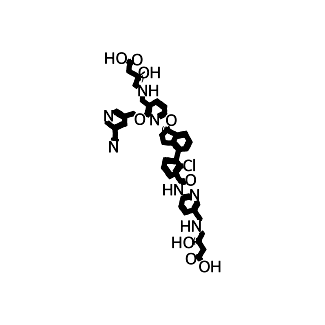 N#Cc1cncc(COc2nc(O[C@H]3CCc4c(-c5cccc(C(=O)Nc6ccc(CNC[C@@H](O)CC(=O)O)cn6)c5Cl)cccc43)ccc2CNC[C@@H](O)CC(=O)O)c1